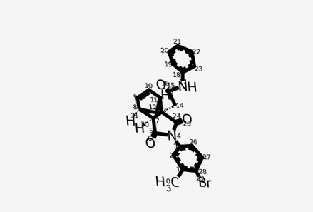 Cc1cc(N2C(=O)[C@H]3[C@H]4C=C[C@H](C4)[C@@]3(CC(=O)Nc3ccccc3)C2=O)ccc1Br